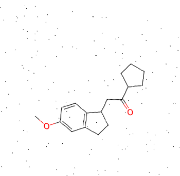 COc1ccc2c(c1)CCC2CC(=O)C1CCCC1